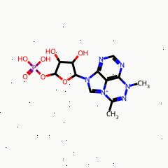 CC1=NN(C)c2ncnc3c2[n+]1cn3C1OC(OP(=O)(O)O)C(O)C1O